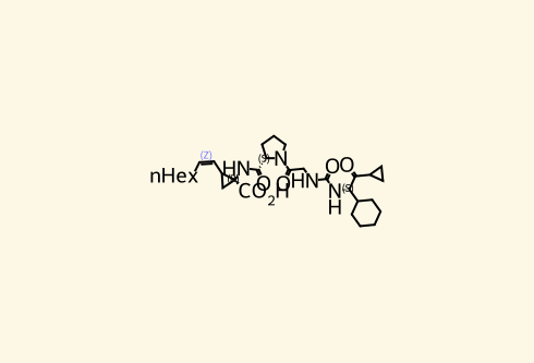 CCCCCC/C=C\C1C[C@]1(NC(=O)[C@@H]1CCCN1C(=O)CNC(=O)N[C@H](C(=O)C1CC1)C1CCCCC1)C(=O)O